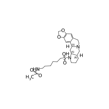 CS(=O)(=O)NCCCCCCS(=O)(=O)N1CCC[C@@H]2CN3CCc4cc5c(cc4[C@@H]3C[C@@H]21)OCO5